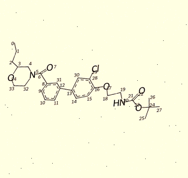 CCCC1CN(C(=O)c2cccc(-c3ccc(OCCNC(=O)OC(C)(C)C)c(Cl)c3)c2)CCO1